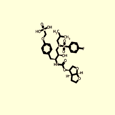 CC(C)CN(C[C@@H](O)[C@H](Cc1ccc(OCP(=O)(O)O)cc1)NC(=O)O[C@H]1CO[C@H]2OCC[C@H]21)S(=O)(=O)c1ccc(F)cc1